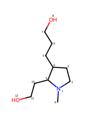 CN1CCC(CCCO)C1CCO